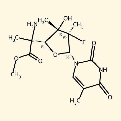 COC(=O)C(C)(N)[C@H]1O[C@@H](n2cc(C)c(=O)[nH]c2=O)[C@](C)(F)[C@@]1(C)O